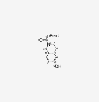 CCCCCC(=O)N1CCc2cc(O)ccc2C1